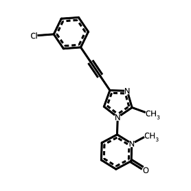 Cc1nc(C#Cc2cccc(Cl)c2)cn1-c1cccc(=O)n1C